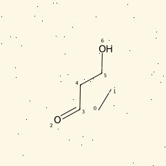 CC.O=CCCO